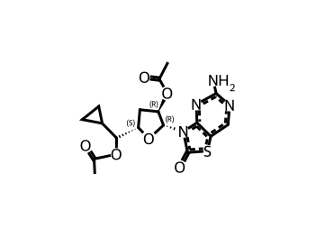 CC(=O)OC(C1CC1)[C@@H]1C[C@@H](OC(C)=O)[C@H](n2c(=O)sc3cnc(N)nc32)O1